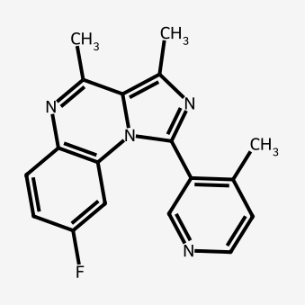 Cc1ccncc1-c1nc(C)c2c(C)nc3ccc(F)cc3n12